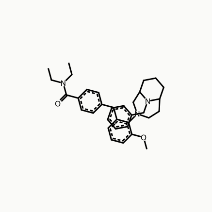 CCN(CC)C(=O)c1ccc(Cc2cccc(OC)c2N2CCC3CCCC(C2)N3Cc2ccccc2)cc1